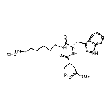 COC(=O)CC(CC(C)C)C(=O)N[C@@H](Cc1c[nH]c2ccccc12)C(=O)NCCCCCCNC=O